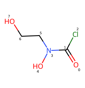 O=C(Cl)N(O)CCO